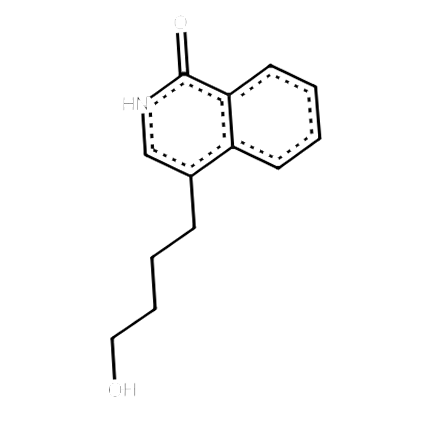 O=c1[nH]cc(CCCCO)c2ccccc12